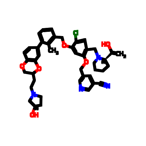 C=C(O)[C@@H]1CCCCN1Cc1cc(Cl)c(OCc2cccc(-c3ccc4c(c3)OC(CCN3CC[C@@H](O)C3)CO4)c2C)cc1OCc1cncc(C#N)c1